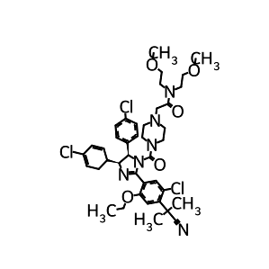 CCOc1cc(C(C)(C)C#N)c(Cl)cc1C1=N[C@@H](C2C=CC(Cl)=CC2)[C@@H](c2ccc(Cl)cc2)N1C(=O)N1CCN(CC(=O)N(CCOC)CCOC)CC1